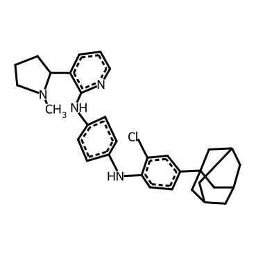 CN1CCCC1c1cccnc1Nc1ccc(Nc2ccc(C34CC5CC(CC(C5)C3)C4)cc2Cl)cc1